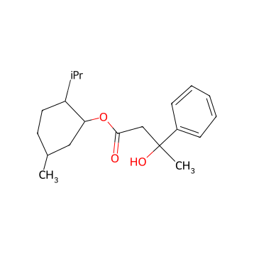 CC1CCC(C(C)C)C(OC(=O)CC(C)(O)c2ccccc2)C1